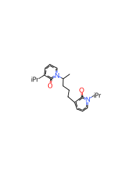 CC(C)c1cccn(C(C)CCCc2cccn(C(C)C)c2=O)c1=O